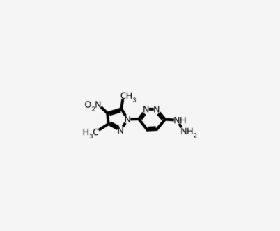 Cc1nn(-c2ccc(NN)nn2)c(C)c1[N+](=O)[O-]